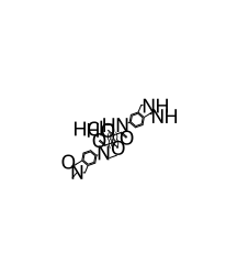 CN1Cc2cc(N3CCO[C@H]([C@@H](O)C(=O)Nc4ccc5c(c4)CNC5=N)C3=O)ccc2C1=O.Cl